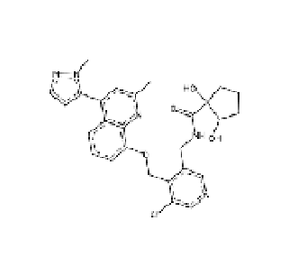 Cc1cc(-c2ccnn2C)c2cccc(OCc3c(Cl)cncc3CNC(=O)C3(O)CCCC3O)c2n1